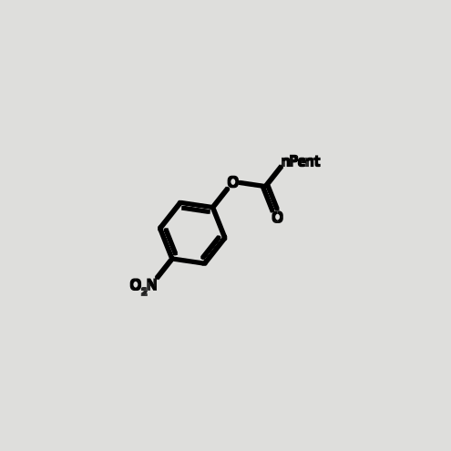 CCCCCC(=O)Oc1ccc([N+](=O)[O-])cc1